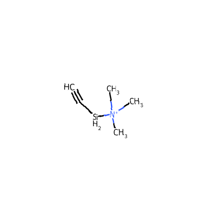 C#C[SiH2][N+](C)(C)C